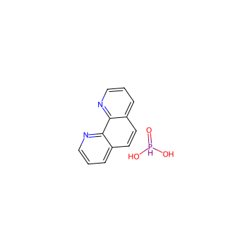 O=[PH](O)O.c1cnc2c(c1)ccc1cccnc12